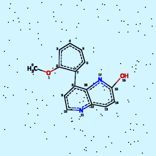 COc1ccccc1-c1ccnc2ccc(O)nc12